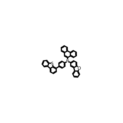 c1ccc2c(c1)cc(N(c1ccc(-c3cccc4c3sc3ccccc34)cc1)c1ccc3oc4ccccc4c3c1)c1ccccc12